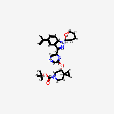 C=C(C)c1ccc2c(c1)c(-c1cncc(O[C@H]3CN(C(=O)OC(C)(C)C)CCC34CC4)n1)nn2C1CCCCO1